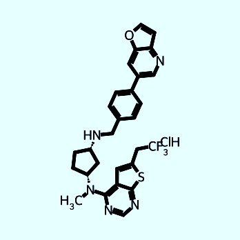 CN(c1ncnc2sc(CC(F)(F)F)cc12)[C@@H]1CC[C@H](NCc2ccc(-c3cnc4ccoc4c3)cc2)C1.Cl